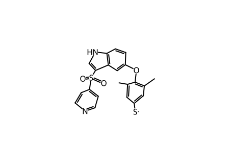 Cc1cc([S])cc(C)c1Oc1ccc2[nH]cc(S(=O)(=O)c3ccncc3)c2c1